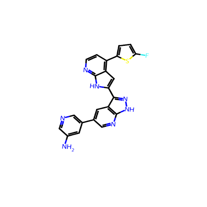 Nc1cncc(-c2cnc3[nH]nc(-c4cc5c(-c6ccc(F)s6)ccnc5[nH]4)c3c2)c1